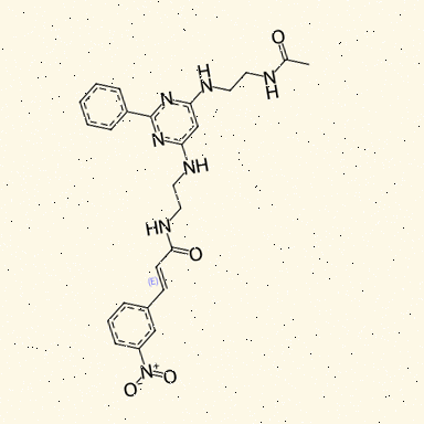 CC(=O)NCCNc1cc(NCCNC(=O)/C=C/c2cccc([N+](=O)[O-])c2)nc(-c2ccccc2)n1